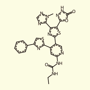 CCNC(=O)Nc1cc(-c2nc(-c3ccccc3)cs2)c(-c2nc(-c3ncnn3C)c(-c3n[nH]c(=O)o3)s2)cn1